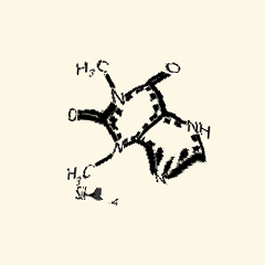 Cn1c(=O)c2[nH]cnc2n(C)c1=O.[SiH4]